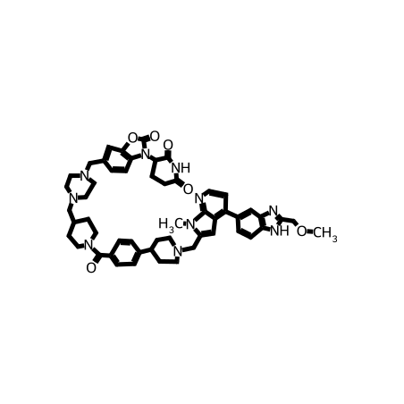 COCc1nc2cc(-c3ccnc4c3cc(CN3CCC(c5ccc(C(=O)N6CCC(CN7CCN(Cc8ccc9c(c8)oc(=O)n9C8CCC(=O)NC8=O)CC7)CC6)cc5)CC3)n4C)ccc2[nH]1